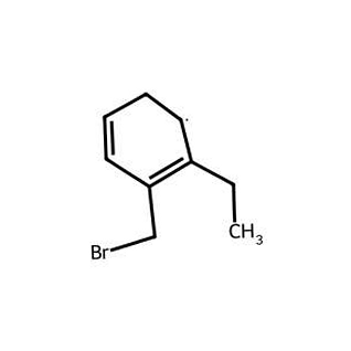 CCC1=C(CBr)C=CC[CH]1